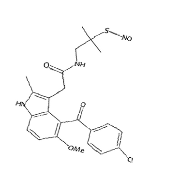 COc1ccc2[nH]c(C)c(CC(=O)NCC(C)(C)SN=O)c2c1C(=O)c1ccc(Cl)cc1